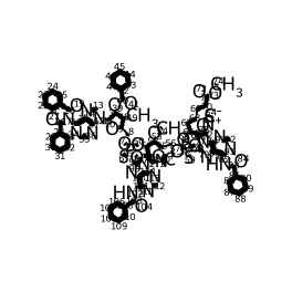 [C-]#[N+]CCOP(=S)(OC[C@H]1O[C@@H](n2cnc3c(N(C(=O)c4ccccc4)C(=O)c4ccccc4)ncnc32)[C@H](OC(=O)c2ccccc2)[C@@H]1C)O[C@@H]1[C@H](OC)[C@@H](COP(=S)(OCC[N+]#[C-])O[C@@H]2C[C@@H](CCC(=O)OC)O[C@H]2n2cnc3c(NC(=O)c4ccccc4)ncnc32)O[C@H]1n1cnc2c(NC(=O)c3ccccc3)ncnc21